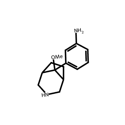 COC1(c2cccc(N)c2)C2CCC1CNC2